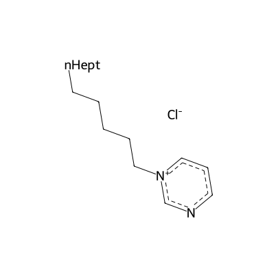 CCCCCCCCCCCC[n+]1cccnc1.[Cl-]